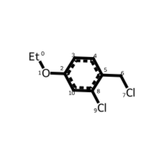 CCOc1ccc(CCl)c(Cl)c1